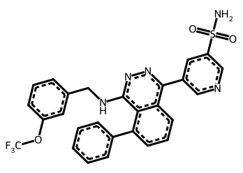 NS(=O)(=O)c1cncc(-c2nnc(NCc3cccc(OC(F)(F)F)c3)c3c(-c4ccccc4)cccc23)c1